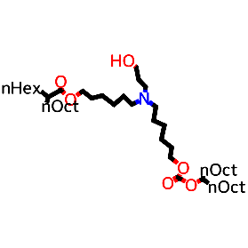 CCCCCCCCC(CCCCCCCC)OC(=O)OCCCCCCN(CCCO)CCCCCCOC(=O)C(CCCCCC)CCCCCCCC